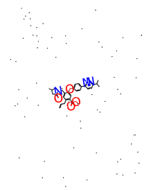 C=CCc1cc(CN2CC(C)CC2=O)c(Oc2ccc(-c3ccc(C(C)C)nn3)cc2)cc1C(=O)OC